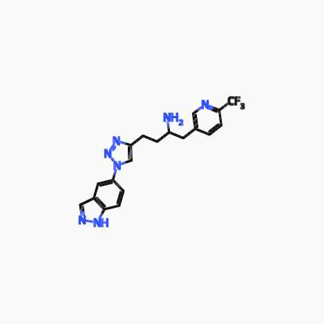 NC(CCc1cn(-c2ccc3[nH]ncc3c2)nn1)Cc1ccc(C(F)(F)F)nc1